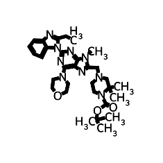 CCc1nc2ccccc2n1-c1nc(N2CCOCC2)c2nc(CN3CCN(C(=O)OC(C)(C)C)C(C)(C)C3)n(C)c2n1